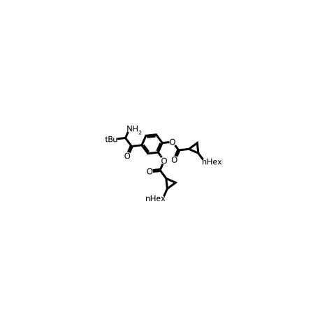 CCCCCCC1CC1C(=O)Oc1ccc(C(=O)C(N)C(C)(C)C)cc1OC(=O)C1CC1CCCCCC